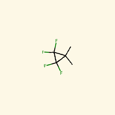 CC1(C)C(F)(F)C1(F)F